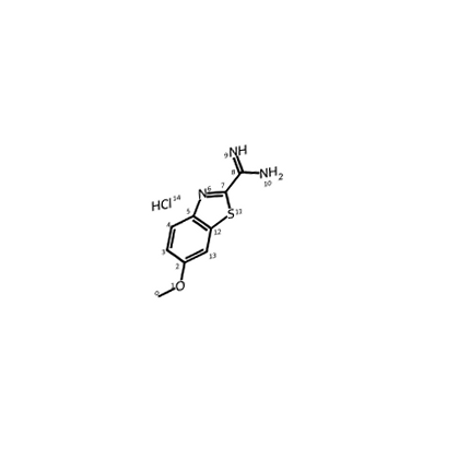 COc1ccc2nc(C(=N)N)sc2c1.Cl